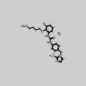 CCCCCCCCCCCCCCOc1c(F)cccc1NC(=O)Nc1ccc(C[n+]2ccsc2C)cc1.[Br-]